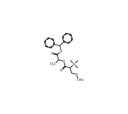 C[Si](C)(C)C(COC=O)C(=O)OC(C(=O)OC(c1ccccc1)c1ccccc1)C(Cl)(Cl)Cl